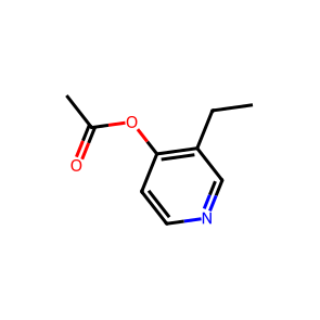 CCc1cnccc1OC(C)=O